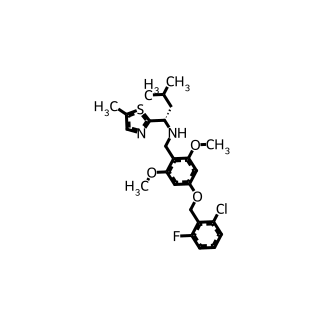 COc1cc(OCc2c(F)cccc2Cl)cc(OC)c1CN[C@@H](CC(C)C)c1ncc(C)s1